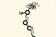 CS(=O)(=O)NC(=O)c1ccc(COc2cccc(-c3ccc(OCC4CC4)nc3)c2)c(C#N)c1